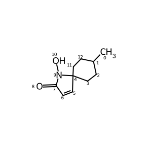 CC1CCC2(C=CC(=O)N2O)CC1